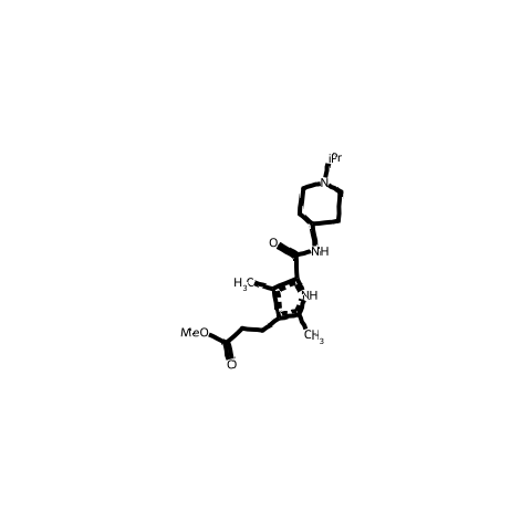 COC(=O)CCc1c(C)[nH]c(C(=O)NC2CCN(C(C)C)CC2)c1C